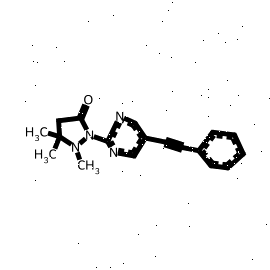 CN1N(c2ncc(C#Cc3ccccc3)cn2)C(=O)CC1(C)C